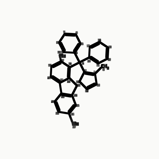 CC1=C(C(c2ccccc2)(c2ccccc2)c2c(C(C)(C)C)ccc3c2Cc2cc(C(C)(C)C)ccc2-3)CC=C1